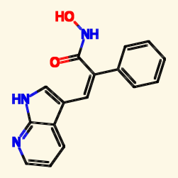 O=C(NO)C(=Cc1c[nH]c2ncccc12)c1ccccc1